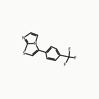 FC(F)(F)c1ccc(-c2csc3nccn23)cc1